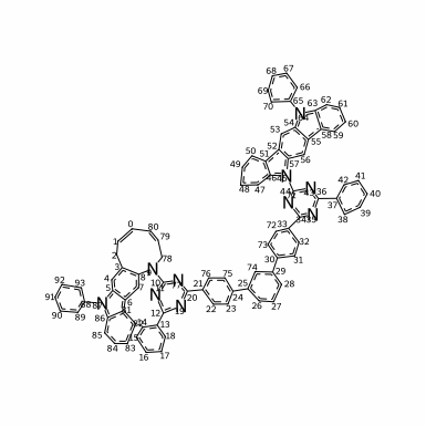 C1=C\Cc2cc3c(cc2N(c2nc(-c4ccccc4)nc(-c4ccc(-c5cccc(-c6ccc(-c7nc(-c8ccccc8)nc(-n8c9ccccc9c9cc%10c(cc98)c8ccccc8n%10-c8ccccc8)n7)cc6)c5)cc4)n2)C\C=C/1)c1ccccc1n3-c1ccccc1